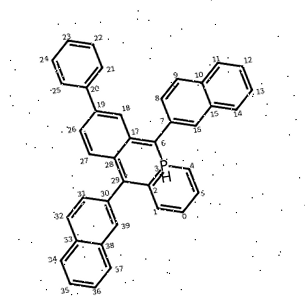 C1=CC2=[PH](C=C1)C(c1ccc3ccccc3c1)=c1cc(-c3ccccc3)ccc1=C2c1ccc2ccccc2c1